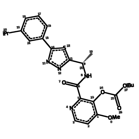 COc1ccnc(C(=O)N[C@@H](C)c2nnc(-c3cccc(C(C)C)c3)s2)c1OC(=O)OCC(C)C